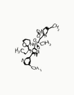 CC[C@@H]([C@@H]1CCCCO1)n1c(NS(=O)(=O)[C@@H](C)[C@H](OC)c2ncc(C)cn2)nnc1-c1cncc(C)c1